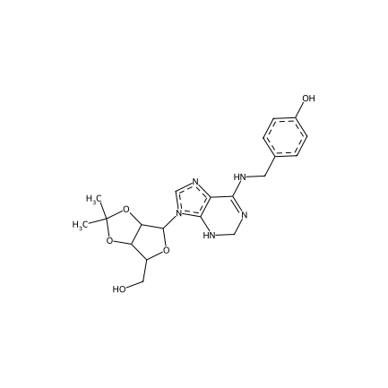 CC1(C)OC2C(CO)OC(n3cnc4c3NCN=C4NCc3ccc(O)cc3)C2O1